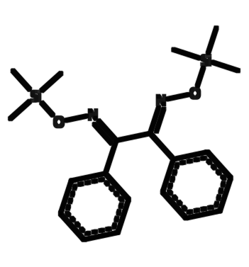 C[Si](C)(C)O/N=C(/C(=N/O[Si](C)(C)C)c1ccccc1)c1ccccc1